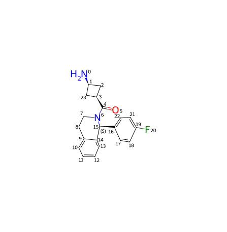 N[C@H]1C[C@@H](C(=O)N2CCc3ccccc3[C@@H]2c2ccc(F)cc2)C1